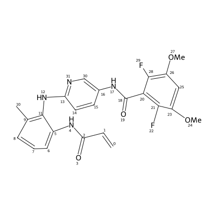 C=CC(=O)Nc1cccc(C)c1Nc1ccc(NC(=O)c2c(F)c(OC)cc(OC)c2F)cn1